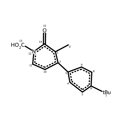 Cc1c(-c2ccc(C(C)(C)C)cc2)ccn(C(=O)O)c1=O